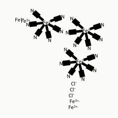 N#[C][Fe-3]([C]#N)([C]#N)([C]#N)([C]#N)[C]#N.N#[C][Fe-3]([C]#N)([C]#N)([C]#N)([C]#N)[C]#N.N#[C][Fe-3]([C]#N)([C]#N)([C]#N)([C]#N)[C]#N.[Cl-].[Cl-].[Cl-].[Fe+3].[Fe+3].[Fe+3].[Fe+3]